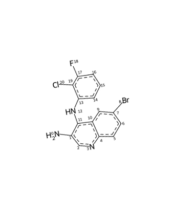 Nc1cnc2ccc(Br)cc2c1Nc1cccc(F)c1Cl